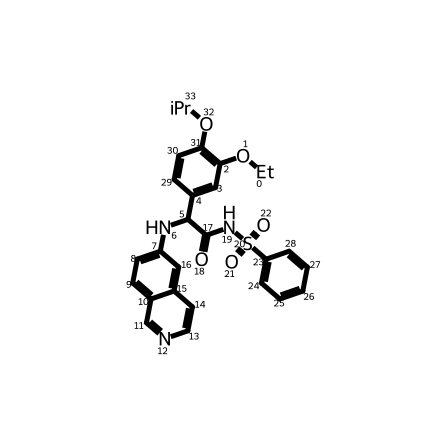 CCOc1cc(C(Nc2ccc3cnccc3c2)C(=O)NS(=O)(=O)c2ccccc2)ccc1OC(C)C